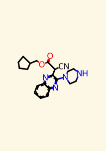 N#CC(C(=O)OCC1CCCC1)c1nc2ccccc2nc1N1CCNCC1